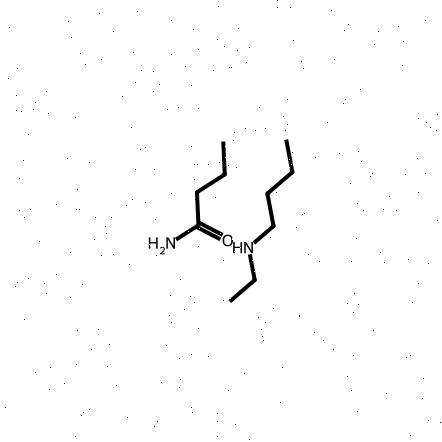 CCCC(N)=O.CCCCNCC